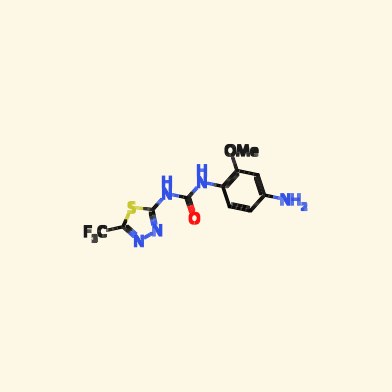 COc1cc(N)ccc1NC(=O)Nc1nnc(C(F)(F)F)s1